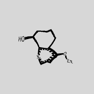 CCOc1ccnc2c1CCCC2O